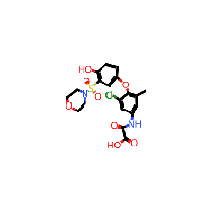 Cc1cc(NC(=O)C(=O)O)cc(Cl)c1Oc1ccc(O)c(S(=O)(=O)N2CCOCC2)c1